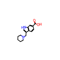 O=C(O)c1ccc2c(CN3CCCCC3)c[nH]c2c1